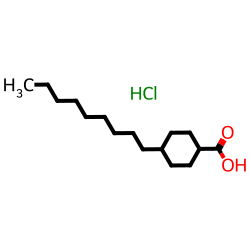 CCCCCCCCCC1CCC(C(=O)O)CC1.Cl